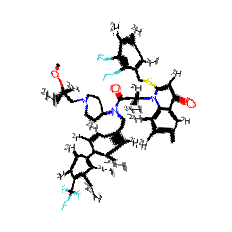 [2H]c1c([2H])c(F)c(F)c(CSc2c([2H])c(=O)c3c([2H])c(C)c([2H])c([2H])c3n2C([2H])([2H])C(=O)N(Cc2c([2H])c([2H])c(-c3c([2H])c([2H])c(C(F)(F)F)c([2H])c3[2H])c([2H])c2[2H])C2CCN(CC([2H])([2H])OC)CC2)c1[2H]